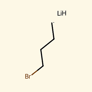 [CH2]CCCBr.[LiH]